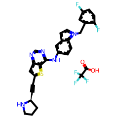 Fc1ccc(F)c(Cn2ccc3cc(Nc4ncnc5cc(C#C[C@H]6CCCN6)sc45)ccc32)c1.O=C(O)C(F)(F)F